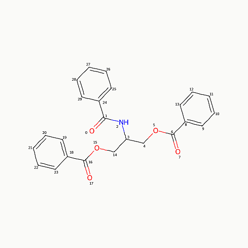 O=C(NC(COC(=O)c1ccccc1)COC(=O)c1ccccc1)c1ccccc1